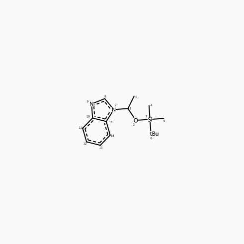 CC(O[Si](C)(C)C(C)(C)C)n1cnc2ccccc21